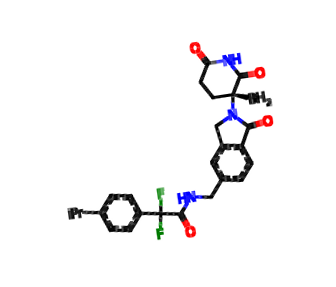 B[C@@]1(N2Cc3cc(CNC(=O)C(F)(F)c4ccc(C(C)C)cc4)ccc3C2=O)CCC(=O)NC1=O